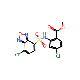 COC(=O)c1ccc(Cl)cc1NS(=O)(=O)c1ccc(Cl)c2nonc12